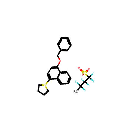 O=S(=O)([O-])C(F)(F)C(F)(F)C(F)(F)C(F)(F)F.c1ccc(COc2ccc([S+]3CCCC3)c3ccccc23)cc1